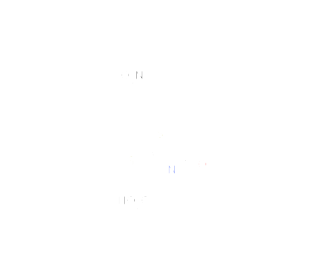 O=C(O)CN1C(=O)C(=Cc2cccc([N+](=O)[O-])c2)SC1=S